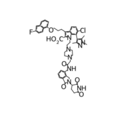 Cc1nn(C)c(C)c1-c1c(Cl)ccc2c(CCCOc3cccc4cc(F)ccc34)c(C(=O)O)n(CCN3CCN(CC(=O)Nc4cccc5c4CN(C4CCC(=O)NC4=O)C5=O)CC3)c12